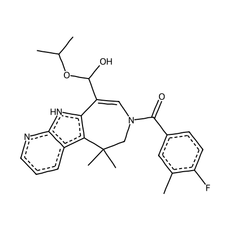 Cc1cc(C(=O)N2C=C(C(O)OC(C)C)c3[nH]c4ncccc4c3C(C)(C)C2)ccc1F